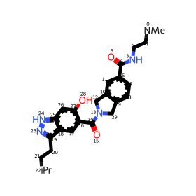 CNCCNC(=O)c1ccc2c(c1)CN(C(=O)c1cc3c(CCC(C)C)n[nH]c3cc1O)C2